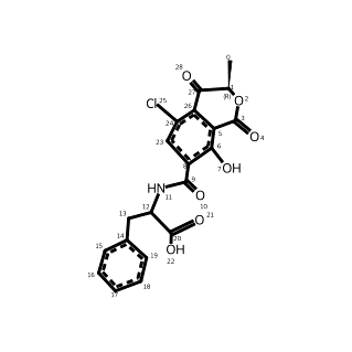 C[C@H]1OC(=O)c2c(O)c(C(=O)NC(Cc3ccccc3)C(=O)O)cc(Cl)c2C1=O